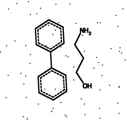 NCCCO.c1ccc(-c2ccccc2)cc1